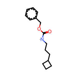 O=C([N]CCCC1CCC1)OCc1ccccc1